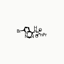 CCCS(=O)(=O)Nc1ncnn2c(Br)ccc12